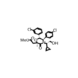 COC(=O)C[C@@]1(C)O[C@H](c2cccc(Cl)c2)[C@@H](c2ccc(Cl)cc2)N([C@H](CO)C2CC2)C1=O